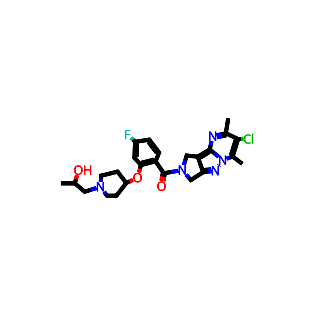 Cc1nc2c3c(nn2c(C)c1Cl)CN(C(=O)c1ccc(F)cc1OC1CCN(CC(C)O)CC1)C3